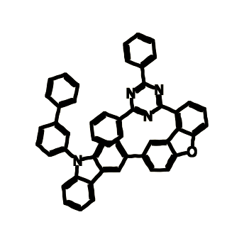 c1ccc(-c2cccc(-n3c4ccccc4c4cc(-c5ccc6oc7cccc(-c8nc(-c9ccccc9)nc(-c9ccccc9)n8)c7c6c5)ccc43)c2)cc1